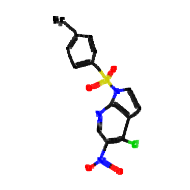 Cc1ccc(S(=O)(=O)n2ccc3c(Cl)c([N+](=O)[O-])cnc32)cc1